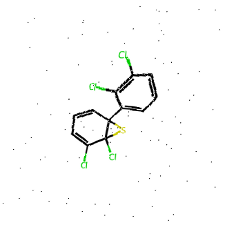 ClC1=CC=CC2(c3cccc(Cl)c3Cl)SC12Cl